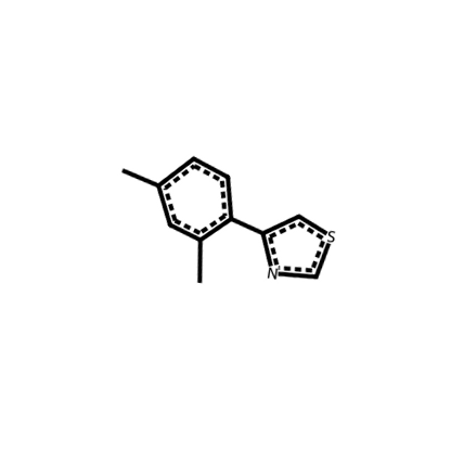 Cc1ccc(-c2cscn2)c(C)c1